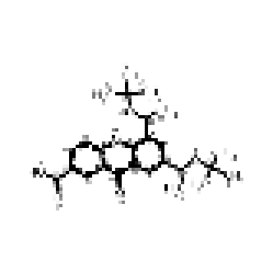 CC(OC(C)(C)C)c1cc(C(C)OC(C)(C)C)c2oc3ccc(C(=O)O)cc3c(=O)c2c1